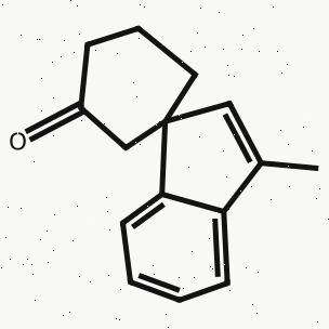 CC1=CC2(CCCC(=O)C2)c2ccccc21